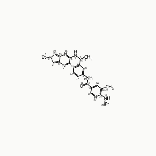 CCn1cc2ncc(N[C@@H](C)c3cccc(NC(=O)c4cnc(NC(C)C)c(C)c4)c3)nc2n1